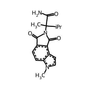 CC(C)C(C)(C(N)=O)N1C(=O)c2ccc3c(ccn3C)c2C1=O